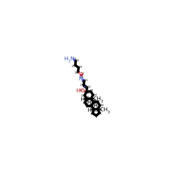 C[C@@]12CCC[C@H]1[C@@H]1CC[C@@H]3C[C@](O)(/C=C/C=N/OCCCCN)CC[C@]3(C)[C@H]1CC2